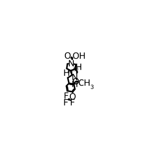 COc1cc(OC(F)(F)F)ccc1CC1NC[C@H]2CN(C(=O)O)CC[C@H]12